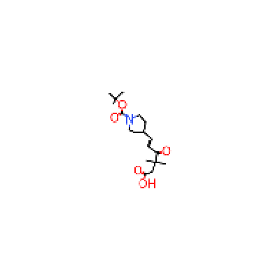 CC(C)(C)OC(=O)N1CCC(C=CC(=O)C(C)(C)CC(=O)O)CC1